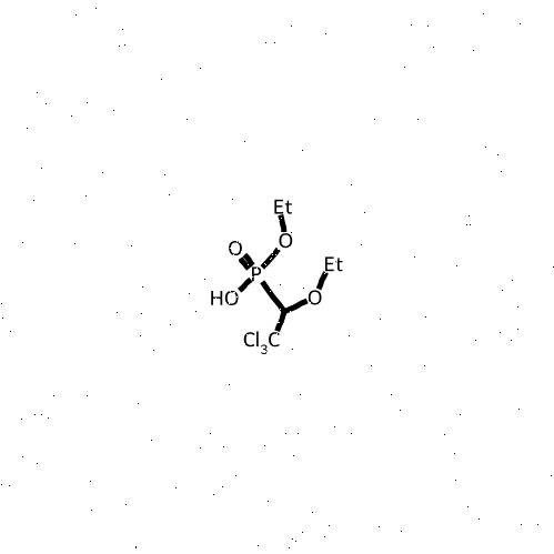 CCOC(C(Cl)(Cl)Cl)P(=O)(O)OCC